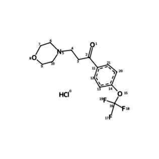 Cl.O=C(CCN1CCOCC1)c1ccc(OC(F)(F)F)cc1